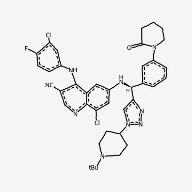 CC(C)(C)N1CCC(n2cc([C@@H](Nc3cc(Cl)c4ncc(C#N)c(Nc5ccc(F)c(Cl)c5)c4c3)c3cccc(N4CCCCC4=O)c3)nn2)CC1